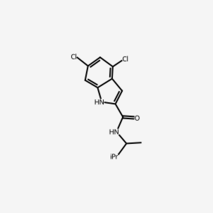 CC(C)C(C)NC(=O)c1cc2c(Cl)cc(Cl)cc2[nH]1